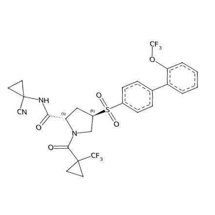 N#CC1(NC(=O)[C@@H]2C[C@@H](S(=O)(=O)c3ccc(-c4ccccc4OC(F)(F)F)cc3)CN2C(=O)C2(C(F)(F)F)CC2)CC1